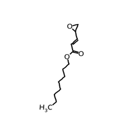 CCCCCCCCOC(=O)C=CC1CO1